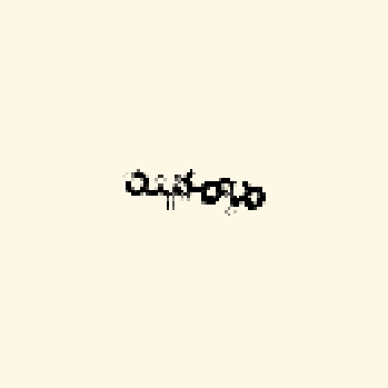 Cc1ccccc1C(=O)N1CCc2cc(-c3nc(NC(=O)CC4CCOCC4)sc3C)ccc21